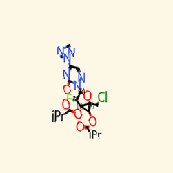 CC(C)C(=O)OC1[C@@]2(CCl)O[C@@H](n3ncc(-n4cncn4)nc3=O)[C@H](F)[C@@]12OC(=O)C(C)C